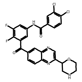 O=C(Nc1cc(F)c(F)c(C(=O)c2ccc3nc(C4CNCCO4)cnc3c2)c1)c1ccc(Cl)c(Cl)c1